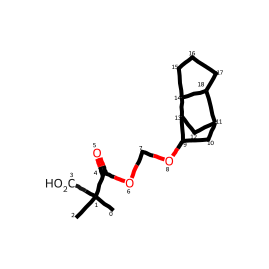 CC(C)(C(=O)O)C(=O)OCOC1CC2CC1C1CCCC21